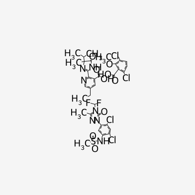 CCc1cnc(C2=NC(C)(C(C)C)C(=O)N2)c(C(=O)O)c1.COc1c(Cl)ccc(Cl)c1C(=O)O.Cc1nn(-c2cc(NS(C)(=O)=O)c(Cl)cc2Cl)c(=O)n1C(F)F